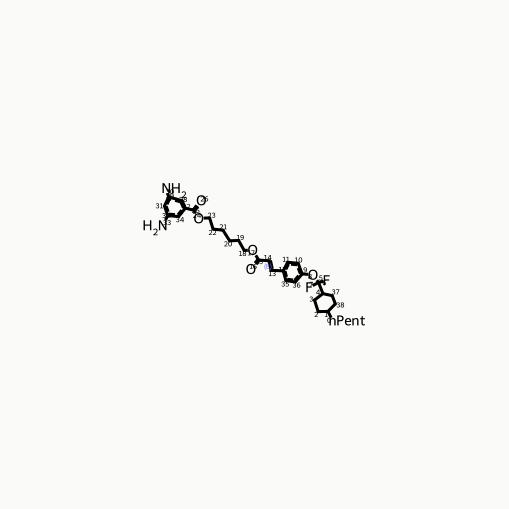 CCCCCC1CCC(C(F)(F)Oc2ccc(/C=C/C(=O)OCCCCCCOC(=O)c3cc(N)cc(N)c3)cc2)CC1